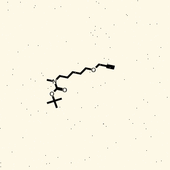 C#CCOCCCCCN(C)C(=O)OC(C)(C)C